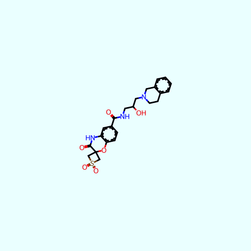 O=C(NCC(O)CN1CCc2ccccc2C1)c1ccc2c(c1)NC(=O)C1(CS(=O)(=O)C1)O2